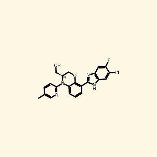 Cc1ccc(N2c3cccc(-c4nc5cc(F)c(Cl)cc5[nH]4)c3OC[C@@H]2CO)nc1